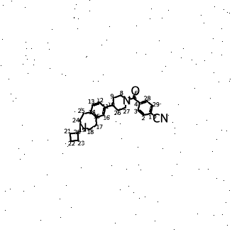 N#Cc1ccc(C(=O)N2CCC(c3ccc4c(c3)CCN(C3CCC3)CC4)CC2)cc1